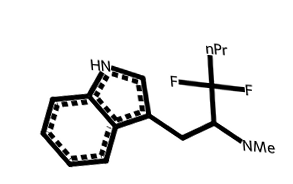 CCCC(F)(F)C(Cc1c[nH]c2ccccc12)NC